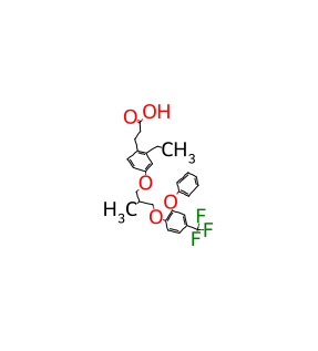 CCc1cc(OCC(C)COc2ccc(C(F)(F)F)cc2Oc2ccccc2)ccc1CCC(=O)O